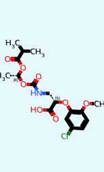 COc1ccc(Cl)cc1O[C@@H](CNC(=O)O[C@H](C)OC(=O)C(C)C)C(=O)O